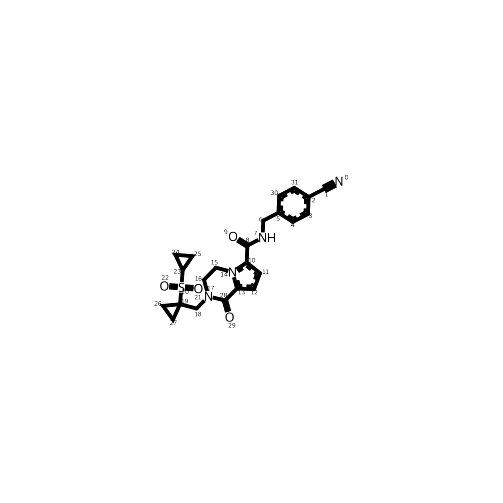 N#Cc1ccc(CNC(=O)c2ccc3n2CCN(CC2(S(=O)(=O)C4CC4)CC2)C3=O)cc1